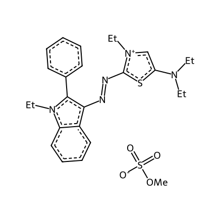 CCN(CC)c1c[n+](CC)c(N=Nc2c(-c3ccccc3)n(CC)c3ccccc23)s1.COS(=O)(=O)[O-]